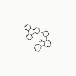 CSC1=C(C2=CCC=CC=C2)C=CC=CC1c1cccc(-c2ccc3c4ccccc4c4ccccc4c3c2)c1